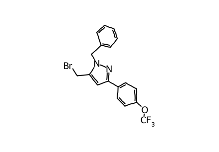 FC(F)(F)Oc1ccc(-c2cc(CBr)n(Cc3ccccc3)n2)cc1